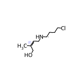 C/C(=C/CN[CH]CCCCl)CO